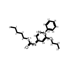 CCCCCSC(=O)N=c1cnn(-c2ccccc2)c(OCCC)c1